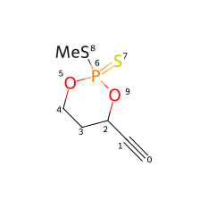 C#CC1CCOP(=S)(SC)O1